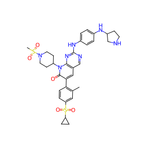 Cc1cc(S(=O)(=O)C2CC2)ccc1-c1cc2cnc(Nc3ccc(NC4CCNC4)cc3)nc2n(C2CCN(S(C)(=O)=O)CC2)c1=O